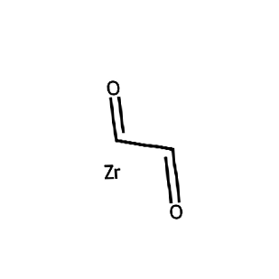 O=CC=O.[Zr]